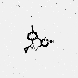 CCOC(=O)c1c[nH]nc1-c1cc(C)ccc1OC1CC1